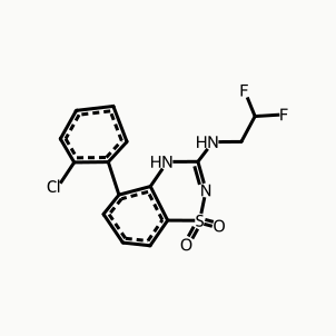 O=S1(=O)N=C(NCC(F)F)Nc2c(-c3ccccc3Cl)cccc21